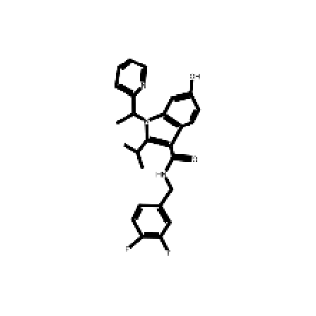 CC(C)c1c(C(=O)NCc2ccc(F)c(F)c2)c2ccc(O)cc2n1C(C)c1ccccn1